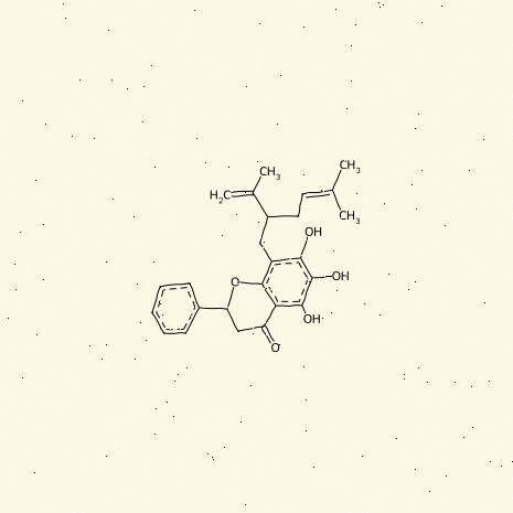 C=C(C)C(CC=C(C)C)Cc1c(O)c(O)c(O)c2c1OC(c1ccccc1)CC2=O